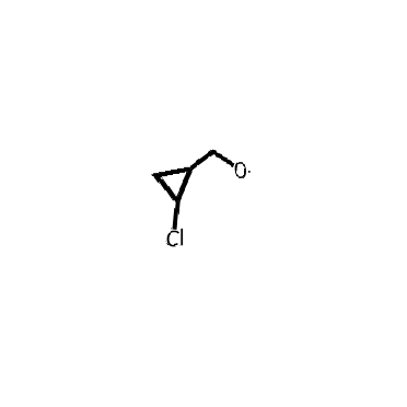 [O]CC1CC1Cl